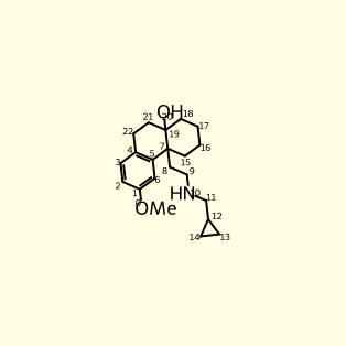 COc1ccc2c(c1)C1(CCNCC3CC3)CCCCC1(O)CC2